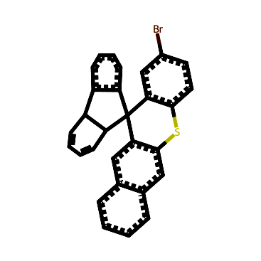 Brc1ccc2c(c1)C1(c3cc4ccccc4cc3S2)c2ccccc2C2C=CC=CC21